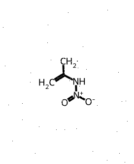 [CH2]C(=C)N[N+](=O)[O-]